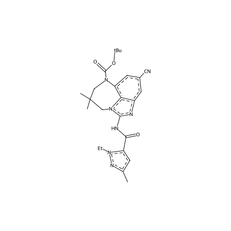 CCn1nc(C)cc1C(=O)Nc1nc2cc(C#N)cc3c2n1CC(C)(C)CN3C(=O)OC(C)(C)C